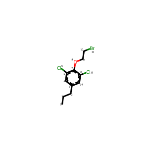 CCCc1cc(Cl)c(OCCBr)c(Cl)c1